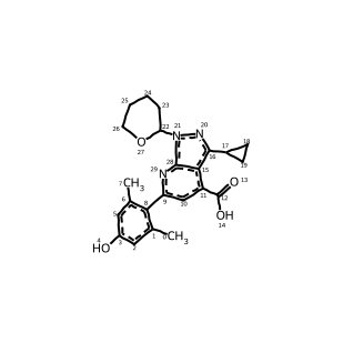 Cc1cc(O)cc(C)c1-c1cc(C(=O)O)c2c(C3CC3)nn(C3CCCCO3)c2n1